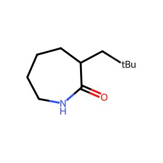 CC(C)(C)CC1CCCCNC1=O